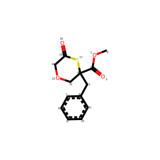 COC(=O)C1(Cc2ccccc2)COCC(=O)S1